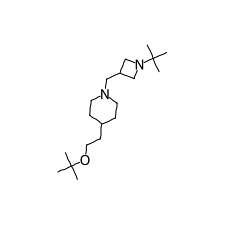 CC(C)(C)OCCC1CCN(CC2CN(C(C)(C)C)C2)CC1